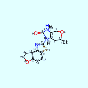 CC[C@H]1C[C@@H]2[C@H](CO1)NC(=O)N2c1nc2c3c(ccc2s1)OCC3